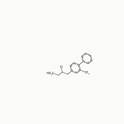 O=C(O)CC(Cl)Cc1ccc(-c2ccccc2)c(C(F)(F)F)c1